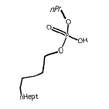 CCCCCCCCCCOP(=O)(O)OCCC